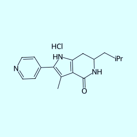 Cc1c(-c2ccncc2)[nH]c2c1C(=O)NC(CC(C)C)C2.Cl